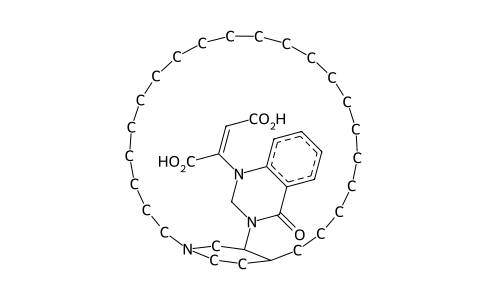 O=C(O)/C=C(/C(=O)O)N1CN(C2CN3CCCCCCCCCCCCCCCCCCCCCC2CC3)C(=O)c2ccccc21